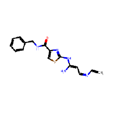 C=C/N=C\C=C(/N)Nc1nc(C(=O)NCc2ccccc2)cs1